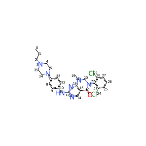 CCCN1CCN(c2ccc(Nc3ncc4c(n3)N(C)CN(c3c(Cl)cccc3Cl)C4=O)cc2)CC1